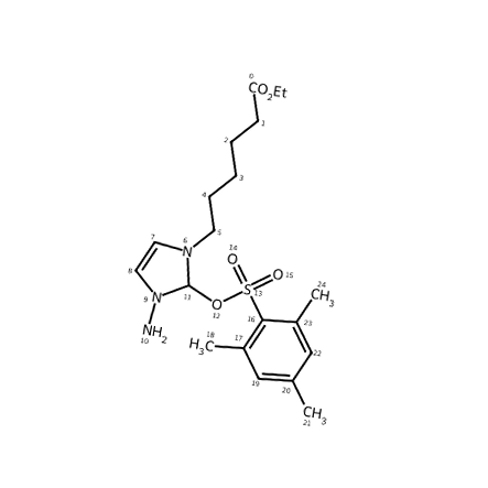 CCOC(=O)CCCCCN1C=CN(N)C1OS(=O)(=O)c1c(C)cc(C)cc1C